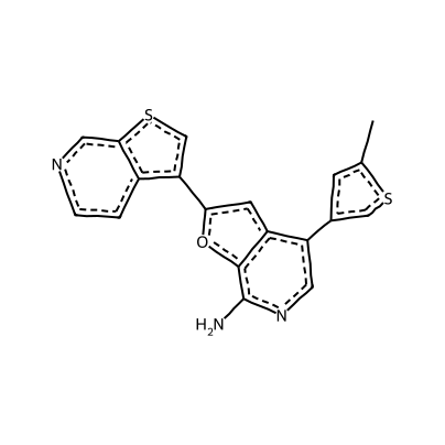 Cc1cc(-c2cnc(N)c3oc(-c4csc5cnccc45)cc23)cs1